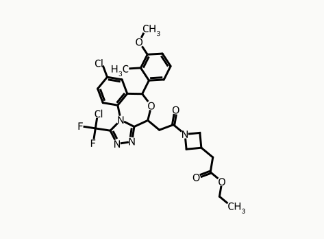 CCOC(=O)CC1CN(C(=O)CC2OC(c3cccc(OC)c3C)c3cc(Cl)ccc3-n3c2nnc3C(F)(F)Cl)C1